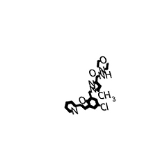 Cc1cc(C(=O)NN2CCOCC2)nn1Cc1cc(Cl)cc2cc(-c3ccccn3)oc12